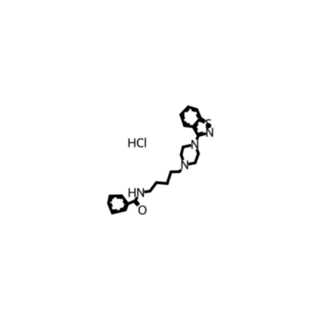 Cl.O=C(NCCCCCN1CCN(c2nsc3ccccc23)CC1)c1ccccc1